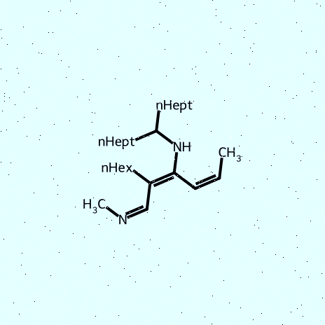 C\C=C/C(NC(CCCCCCC)CCCCCCC)=C(\C=N/C)CCCCCC